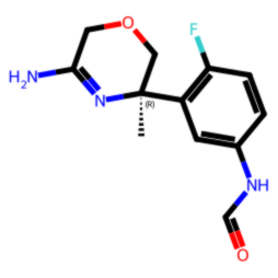 C[C@@]1(c2cc(NC=O)ccc2F)COCC(N)=N1